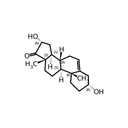 C[C@]12CC[C@@H](O)CC1=CC[C@@H]1[C@@H]2CC[C@]2(C)C(=O)[C@H](O)C[C@@H]12